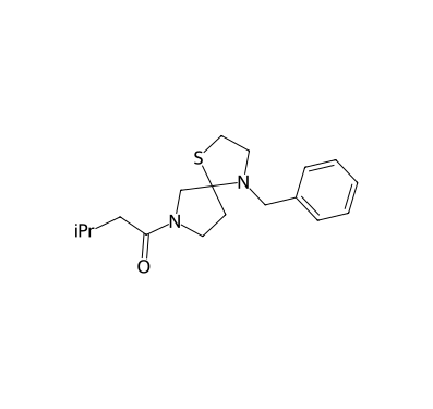 CC(C)CC(=O)N1CCC2(C1)SCCN2Cc1ccccc1